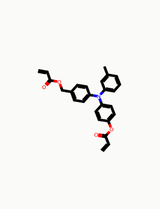 C=CC(=O)OCc1ccc(N(c2ccc(OC(=O)C=C)cc2)c2cccc(C)c2)cc1